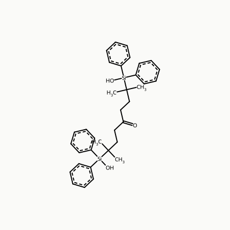 CC(C)(CCC(=O)CCC(C)(C)[Si](O)(c1ccccc1)c1ccccc1)[Si](O)(c1ccccc1)c1ccccc1